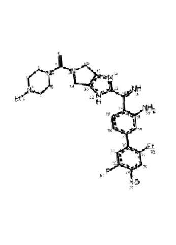 C=C(N1CCN(CC)CC1)N1Cc2nc(C(=N)c3ccc(-c4cc(F)c(N=O)cc4CC)cc3N)[nH]c2C1